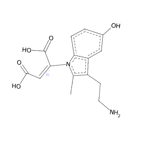 Cc1c(CCN)c2cc(O)ccc2n1/C(=C/C(=O)O)C(=O)O